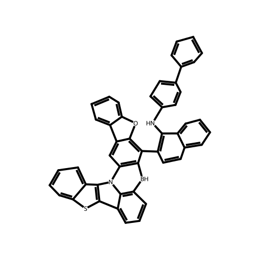 B1c2c(cc3c(oc4ccccc43)c2-c2ccc3ccccc3c2Nc2ccc(-c3ccccc3)cc2)-n2c3c1cccc3c1sc3ccccc3c12